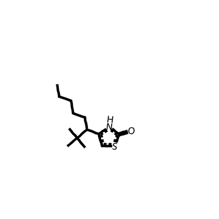 CCCCCC(c1csc(=O)[nH]1)C(C)(C)C